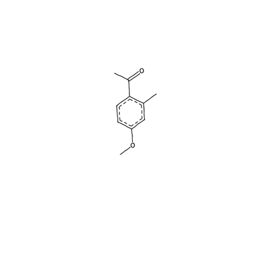 COc1ccc(C(C)=O)c(C)c1